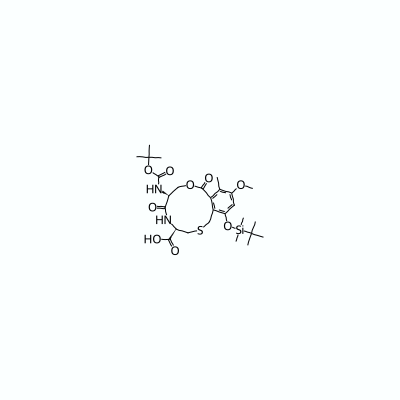 COc1cc(O[Si](C)(C)C(C)(C)C)c2c(c1C)C(=O)OC[C@H](NC(=O)OC(C)(C)C)C(=O)N[C@H](C(=O)O)CSC2